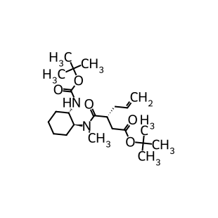 C=CC[C@H](CC(=O)OC(C)(C)C)C(=O)N(C)[C@H]1CCCC[C@@H]1NC(=O)OC(C)(C)C